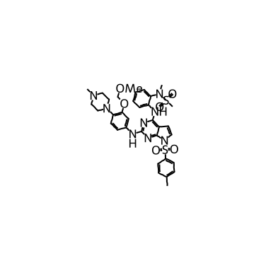 COCOc1cc(Nc2nc(Nc3ccccc3N(C)S(C)(=O)=O)c3ccn(S(=O)(=O)c4ccc(C)cc4)c3n2)ccc1N1CCN(C)CC1